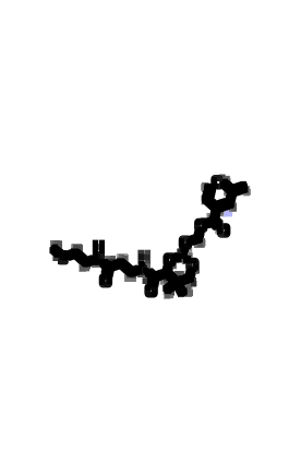 C=C/C(=C\C(=C)Cl)C(=O)OCOP1OCC(C)(C)C(C(=O)NCCC(=O)NCCSC)O1